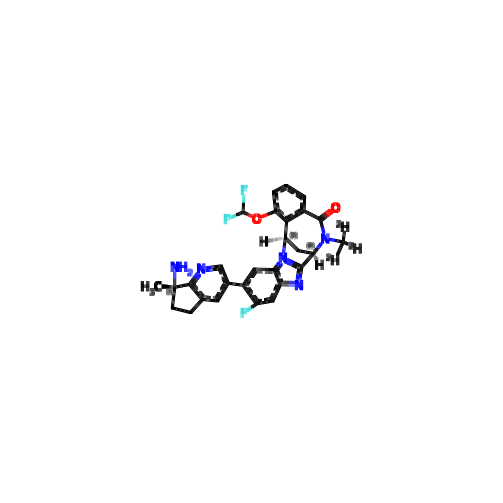 [2H]C([2H])([2H])N1C(=O)c2cccc(OC(F)F)c2[C@H]2C[C@@H]1c1nc3cc(F)c(-c4cnc5c(c4)CC[C@]5(C)N)cc3n12